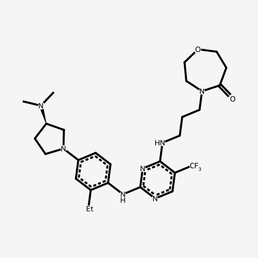 CCc1cc(N2CC[C@@H](N(C)C)C2)ccc1Nc1ncc(C(F)(F)F)c(NCCCN2CCOCCC2=O)n1